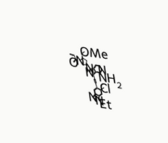 C=CC(=O)N1C[C@@H](n2nc(C#Cc3cc4ncn(CC)c4cc3Cl)c3c(N)nccc32)C[C@@H]1COC